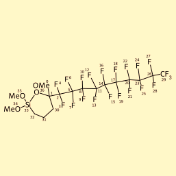 COC1(C(F)(F)C(F)(F)C(F)(F)C(F)(F)C(F)(F)C(F)(F)C(F)(F)C(F)(F)C(F)(F)C(F)(F)F)CCC[Si](OC)(OC)O1